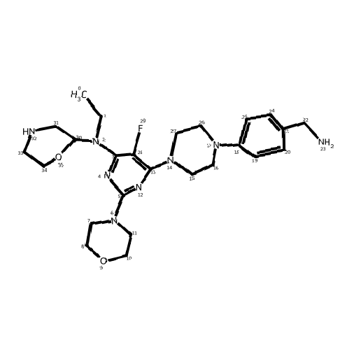 CCN(c1nc(N2CCOCC2)nc(N2CCN(c3ccc(CN)cc3)CC2)c1F)C1CNCCO1